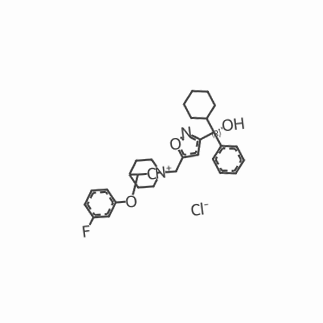 O[C@](c1ccccc1)(c1cc(C[N+]23CCC(CC2)C(Oc2cccc(F)c2)C3)on1)C1CCCCC1.[Cl-]